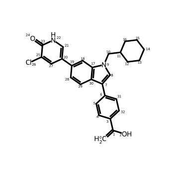 C=C(O)c1ccc(-c2cn(CC3CCCCC3)c3cc(-c4c[nH]c(=O)c(Cl)c4)ccc23)cc1